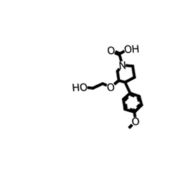 COc1ccc(C2CCN(C(=O)O)CC2OCCO)cc1